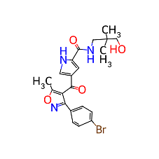 Cc1onc(-c2ccc(Br)cc2)c1C(=O)c1c[nH]c(C(=O)NCC(C)(C)CO)c1